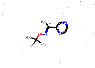 CC(=NOC(C)(C)C)c1cn[c]cn1